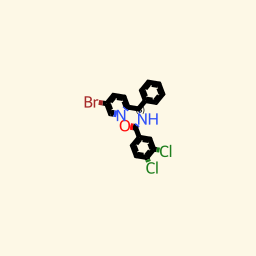 O=C(N[C@@H](c1ccccc1)c1ccc(Br)cn1)c1ccc(Cl)c(Cl)c1